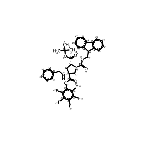 CC(C)(C)OC(=O)[C@H]1C[C@](NCc2ccncc2)(C(=O)Oc2c(F)c(F)c(F)c(F)c2F)CN1C(=O)OCC1c2ccccc2-c2ccccc21